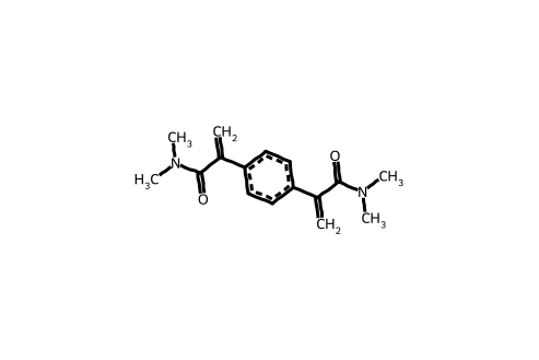 C=C(C(=O)N(C)C)c1ccc(C(=C)C(=O)N(C)C)cc1